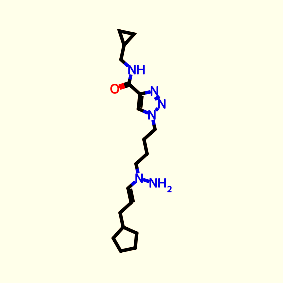 NN(/C=C/CC1CCCC1)CCCCn1cc(C(=O)NCC2CC2)nn1